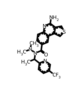 CC(c1ccc(C(F)(F)F)cn1)N(C(=O)c1ccc2nc(N)c3cscc3c2c1)N(C)C